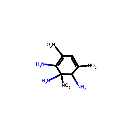 NC1=C([N+](=O)[O-])C=C([N+](=O)[O-])C(N)C1(N)[N+](=O)[O-]